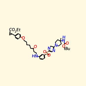 CCOC(=O)C1CC1c1ccc(OCCCCCC(=O)CCNc2cccc(S(=O)(=O)c3cnc(N4CCC(C)(NC(=O)OC(C)(C)C)CC4)cn3)c2)cc1